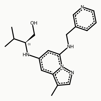 Cc1cnn2c(NCc3cccnc3)cc(N[C@H](CO)C(C)C)cc12